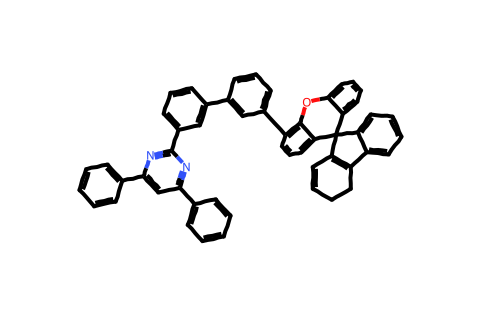 C1=CC2=C(CC1)c1ccccc1C21c2ccccc2Oc2c(-c3cccc(-c4cccc(-c5nc(-c6ccccc6)cc(-c6ccccc6)n5)c4)c3)cccc21